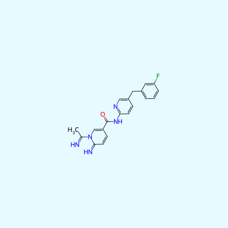 CC(=N)n1cc(C(=O)Nc2ccc(Cc3cccc(F)c3)cn2)ccc1=N